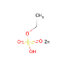 CCOS(=O)(=O)O.[Zn]